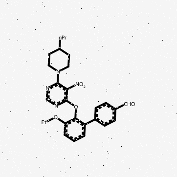 CCCC1CCN(c2ncnc(Oc3c(OCC)cccc3-c3ccc(C=O)cc3)c2[N+](=O)[O-])CC1